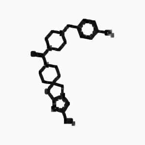 O=C(N1CCN(Cc2ccc(C(F)(F)F)cc2)CC1)N1CCC2(CC1)Cn1cc([N+](=O)[O-])nc1O2